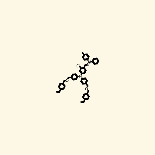 C=Cc1ccc(COCc2ccc(N(c3ccc(COCc4ccc(C=C)cc4)cc3)c3ccc(C=NN(c4ccccc4)c4ccc(C)cc4)c(Cl)c3)cc2)cc1